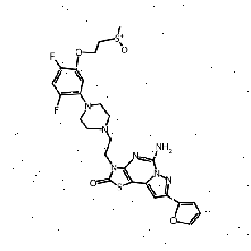 C[S+]([O-])CCOc1cc(N2CCN(CCn3c(=O)sc4c3nc(N)n3nc(-c5ccco5)cc43)CC2)c(F)cc1F